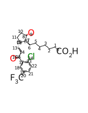 O=C(O)CCCCCC[C@@H]1C(=O)CC[C@H]1C=CC(=O)c1cc(C(F)(F)F)ccc1Cl